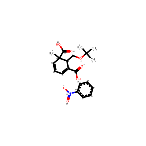 CC(C)(C)OCC1C(C(=O)O)=CC=CC1(C)C(=O)O.O=[N+]([O-])c1ccccc1